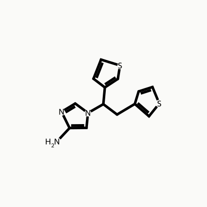 Nc1cn(C(Cc2ccsc2)c2ccsc2)cn1